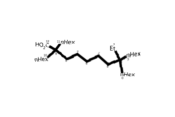 CCCCCCC(CC)(CCCCCC)CCCCCC(CCCCCC)(CCCCCC)C(=O)O